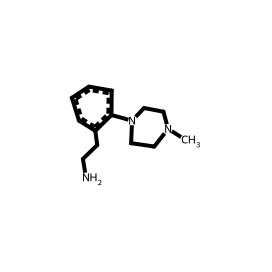 CN1CCN(c2ccccc2CCN)CC1